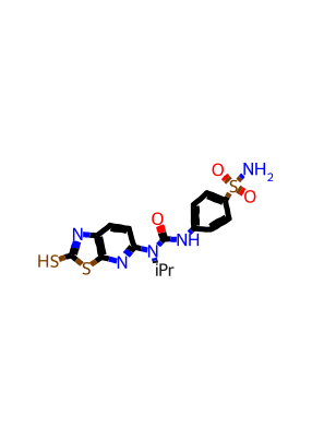 CC(C)N(C(=O)Nc1ccc(S(N)(=O)=O)cc1)c1ccc2nc(S)sc2n1